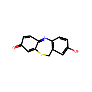 O=C1C=CC2=Nc3ccc(O)cc3CSC2=C1